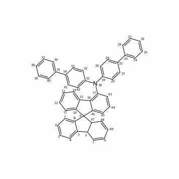 C1=CC2c3ccccc3C3(c4ccccc4-c4c(N(c5ccc(-c6ccccc6)cc5)c5ccc(-c6ccccc6)cc5)cccc43)C2C=C1